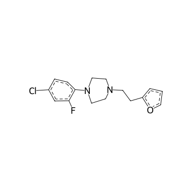 Fc1cc(Cl)ccc1N1CCN(CCc2ccco2)CC1